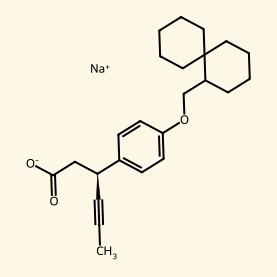 CC#C[C@@H](CC(=O)[O-])c1ccc(OCC2CCCCC23CCCCC3)cc1.[Na+]